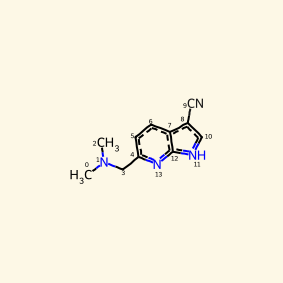 CN(C)Cc1ccc2c(C#N)c[nH]c2n1